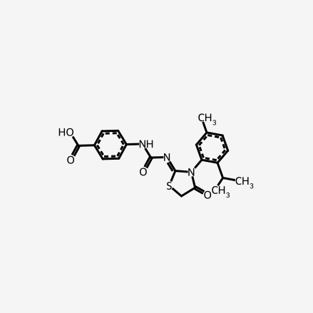 Cc1ccc(C(C)C)c(N2C(=O)CSC2=NC(=O)Nc2ccc(C(=O)O)cc2)c1